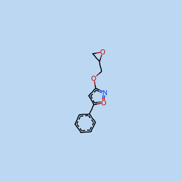 c1ccc(-c2cc(OCC3CO3)no2)cc1